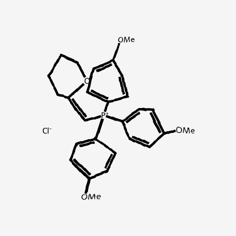 COc1ccc([P+](C=C2CCCCO2)(c2ccc(OC)cc2)c2ccc(OC)cc2)cc1.[Cl-]